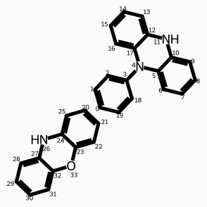 c1ccc(N2c3ccccc3Nc3ccccc32)cc1.c1ccc2c(c1)Nc1ccccc1O2